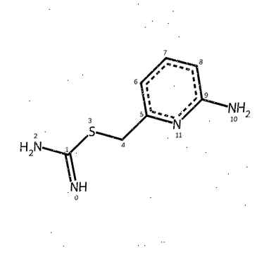 N=C(N)SCc1cccc(N)n1